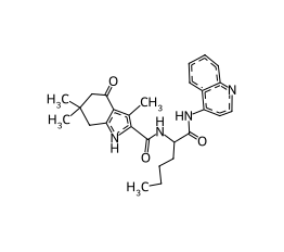 CCCCC(NC(=O)c1[nH]c2c(c1C)C(=O)CC(C)(C)C2)C(=O)Nc1ccnc2ccccc12